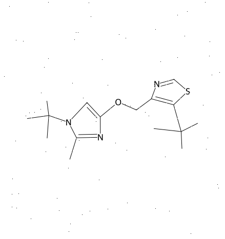 Cc1nc(OCc2ncsc2C(C)(C)C)cn1C(C)(C)C